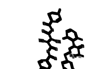 Cc1ccc(C(=O)OC(=O)C(O)C(O)C(=O)OC(=O)c2ccc(C)cc2)cc1.Cc1cccc(C)c1N(CCCc1cccnc1)C(=O)[C@@H](C)N